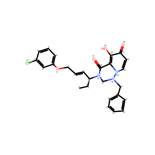 CC[C@@H](/C=C/COc1cccc(Cl)c1)N1CN(Cc2ccccc2)n2ccc(=O)c(O)c2C1=O